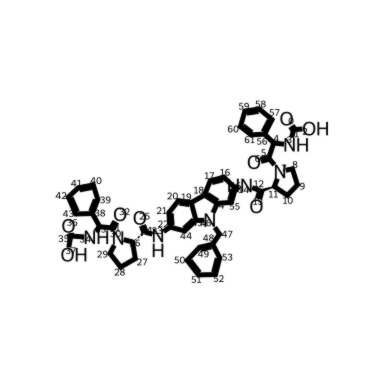 O=C(O)NC(C(=O)N1CCC[C@H]1C(=O)Nc1ccc2c3ccc(NC(=O)[C@@H]4CCCN4C(=O)C(NC(=O)O)c4ccccc4)cc3n(Cc3ccccc3)c2c1)c1ccccc1